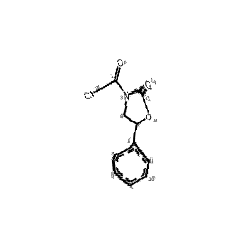 O=C(Cl)N1CC(c2ccccc2)OC1=O